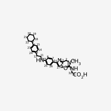 CN(Cc1nc(-c2ccc(NCCc3ccc(C4CCCCC4)cc3)cc2)cs1)C(=O)NCC(=O)O